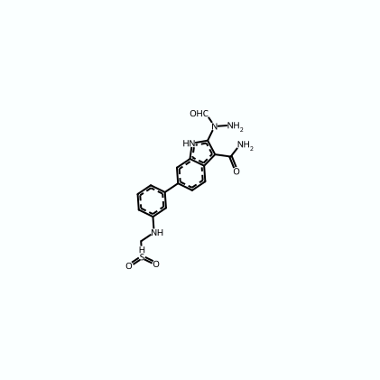 NC(=O)c1c(N(N)C=O)[nH]c2cc(-c3cccc(NC[SH](=O)=O)c3)ccc12